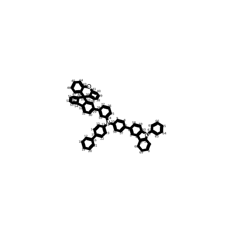 C1=Cc2c(c3cc(-c4ccc(N(c5ccc(-c6ccccc6)cc5)c5cccc(-c6ccc7c(c6)C6(c8ccccc8Oc8ccccc86)c6ccccc6-7)c5)cc4)ccc3n2-c2ccccc2)CC1